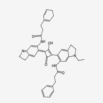 CCN1CCc2cc(C3=C(O)/C(=c4/cc5c(cc4NC(=O)CCC4=CCCC=C4)=NCC5)C3=O)c(NC(=O)CCc3ccccc3)cc21